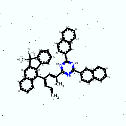 C=C/C=C(\C=C(/C)c1nc(-c2ccc3ccccc3c2)nc(-c2ccc3ccccc3c2)n1)c1c2c(cc3ccccc13)C(C)(C)c1ccccc1-2